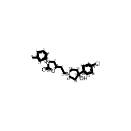 Cc1cccc(N2CC(CCN3CCC(O)(c4ccc(Cl)cc4)CC3)OC2=O)c1